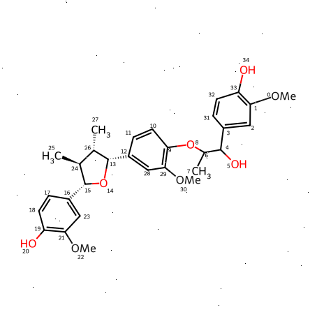 COc1cc(C(O)C(C)Oc2ccc([C@@H]3O[C@H](c4ccc(O)c(OC)c4)[C@@H](C)[C@@H]3C)cc2OC)ccc1O